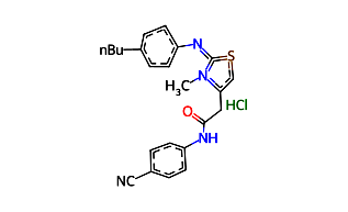 CCCCc1ccc(/N=c2/scc(CC(=O)Nc3ccc(C#N)cc3)n2C)cc1.Cl